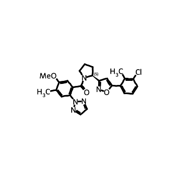 COc1cc(C(=O)N2CCC[C@H]2c2cc(-c3cccc(Cl)c3C)on2)c(-n2nccn2)cc1C